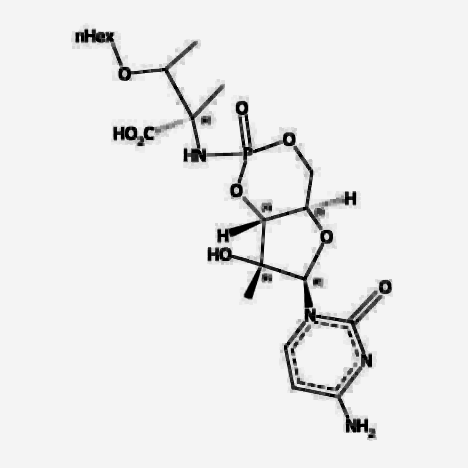 CCCCCCOC(C)[C@@](C)(NP1(=O)OC[C@H]2O[C@@H](n3ccc(N)nc3=O)[C@](C)(O)[C@@H]2O1)C(=O)O